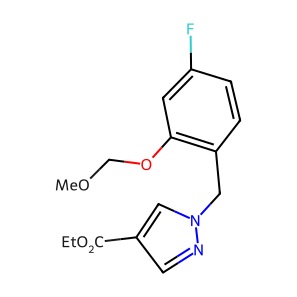 CCOC(=O)c1cnn(Cc2ccc(F)cc2OCOC)c1